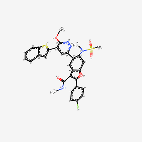 CNC(=O)c1c(-c2ccc(F)cc2)oc2cc(N(C)S(C)(=O)=O)c(-c3cc(-c4cc5ccccc5s4)c(OC)nn3)cc12